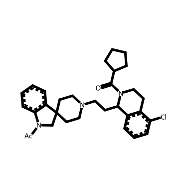 CC(=O)N1CC2(CCN(CCC3c4cccc(Cl)c4CCN3C(=O)C3CCCC3)CC2)c2ccccc21